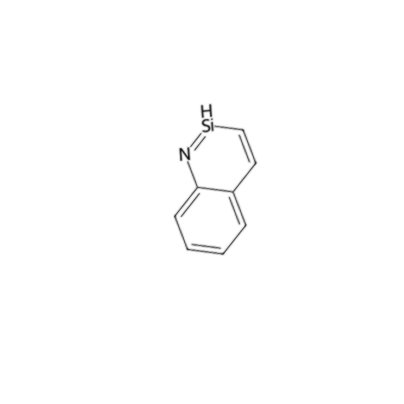 c1ccc2n[siH]ccc2c1